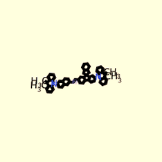 CC1(C)C2=C(CCC=C2)N(c2ccc3c(c2)C2(CC4=C(CCC=C4)C2)C2CC(/C=C/c4ccc5cc(N6c7ccccc7C(C)(C)c7ccccc76)ccc5c4)=CC=C32)c2ccccc21